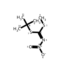 CSC(=N[N+](=O)[O-])SC(C)(C)C